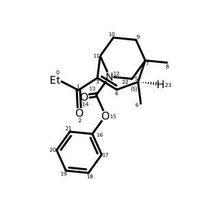 CCC(=O)C1=C[C@H](C)C2(C)CCC1N(C(=O)Oc1ccccc1)C2